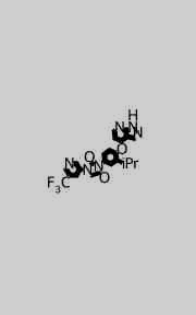 CC(C)c1cc(N2C(=O)CN(c3cncc(C(F)(F)F)c3)C2=O)ccc1Oc1ccnc2[nH]ncc12